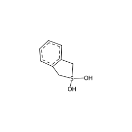 OS1(O)Cc2ccccc2C1